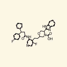 O=C(CC(c1ccccc1)c1ccc(F)cc1)Nc1cncc(F)c1CCC1CN(C(=O)O)C(c2nc3ccccc3[nH]2)CO1